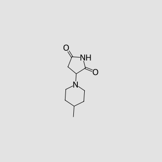 CC1CCN(C2CC(=O)NC2=O)CC1